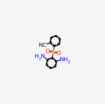 N#Cc1ccccc1S(=O)(=O)c1c(N)cccc1N